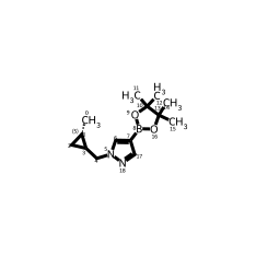 C[C@H]1CC1Cn1cc(B2OC(C)(C)C(C)(C)O2)cn1